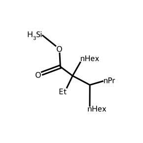 CCCCCCC(CCC)C(CC)(CCCCCC)C(=O)O[SiH3]